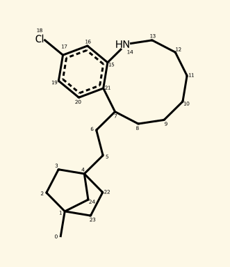 CC12CCC(CCC3CCCCCCNc4cc(Cl)ccc43)(CC1)C2